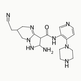 N#CCC1CN=C2C(C(=O)Nc3cnccc3N3CCNCC3)C(N)NN2C1